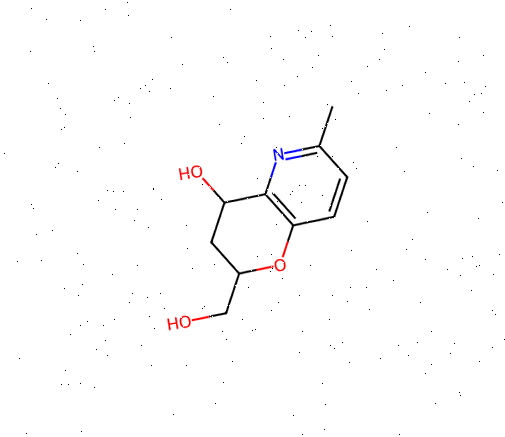 Cc1ccc2c(n1)C(O)CC(CO)O2